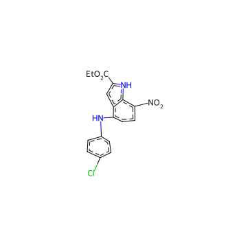 CCOC(=O)c1cc2c(Nc3ccc(Cl)cc3)ccc([N+](=O)[O-])c2[nH]1